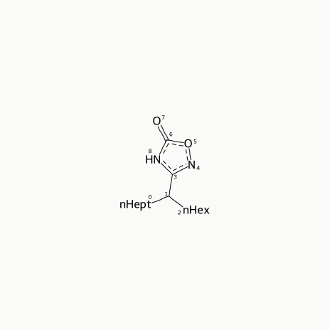 CCCCCCCC(CCCCCC)c1noc(=O)[nH]1